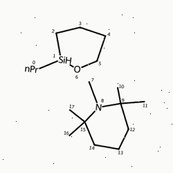 CCC[SiH]1CCCCO1.CN1C(C)(C)CCCC1(C)C